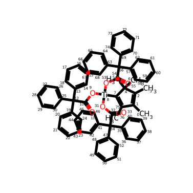 CC1=C(C)C(C)(C)[C]([Ti]([O]C(=O)C(c2ccccc2)(c2ccccc2)c2ccccc2)([O]C(=O)C(c2ccccc2)(c2ccccc2)c2ccccc2)[O]C(=O)C(c2ccccc2)(c2ccccc2)c2ccccc2)=C1C